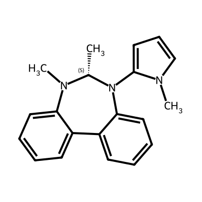 C[C@H]1N(C)c2ccccc2-c2ccccc2N1c1cccn1C